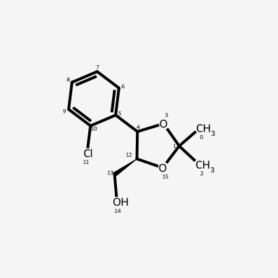 CC1(C)OC(c2ccccc2Cl)[C@H](CO)O1